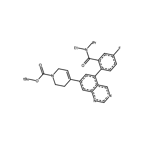 CCN(C(=O)c1cc(F)ccc1-c1cc(C2=CCN(C(=O)OC(C)(C)C)CC2)cc2ncncc12)C(C)C